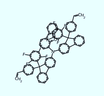 C=Cc1ccc(C2(c3c(F)c(F)cc(F)c3F)c3ccccc3-c3ccc(N(c4ccc5c(c4)C(c4ccc(C=C)cc4)(c4c(F)c(F)cc(F)c4F)c4ccccc4-5)c4cccc5c4oc4ccccc45)cc32)cc1